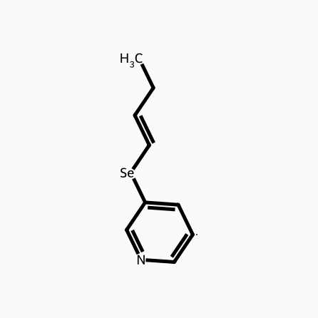 CCC=C[Se]c1c[c]cnc1